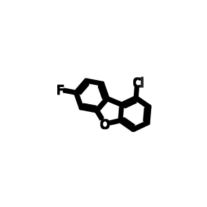 Fc1ccc2c(c1)oc1cccc(Cl)c12